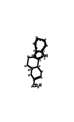 O=C(O)C1=CCC2c3[nH]c4ccccc4c3CCN2C1